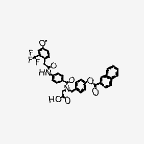 COc1ccc(CC(=O)Nc2ccc(C(=O)N(CC(=O)O)Cc3ccc(OC(=O)c4ccc5ccccc5c4)cc3)cc2)c(C(F)(F)F)c1